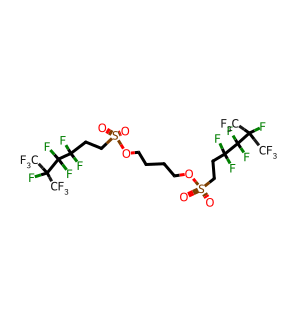 O=S(=O)(CCC(F)(F)C(F)(F)C(F)(C(F)(F)F)C(F)(F)F)OCCCCOS(=O)(=O)CCC(F)(F)C(F)(F)C(F)(C(F)(F)F)C(F)(F)F